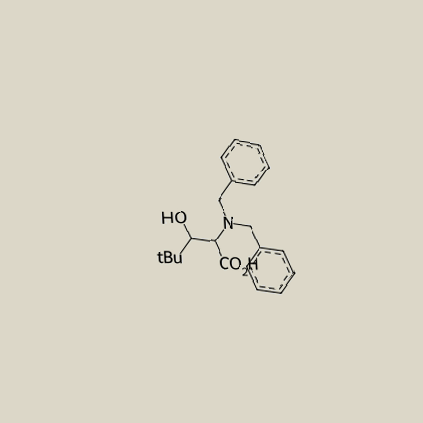 CC(C)(C)C(O)C(C(=O)O)N(Cc1ccccc1)Cc1ccccc1